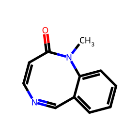 CN1C(=O)C=CN=Cc2ccccc21